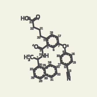 CC(NC(=O)c1cc(Oc2ccc(C#N)cc2)ccc1CCCC(=O)O)c1cccc2ccccc12